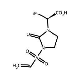 C=CS(=O)(=O)N1CCN([C@H](C(=O)O)C(C)C)C1=O